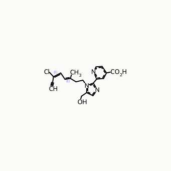 C#C/C(Cl)=C\C=C(/C)CCn1c(CO)cnc1-c1cc(C(=O)O)ccn1